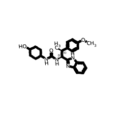 COc1ccc([C@H](C)[C@H](NC(=O)NC2CCC(O)CC2)c2nc3ccccc3[nH]2)cc1